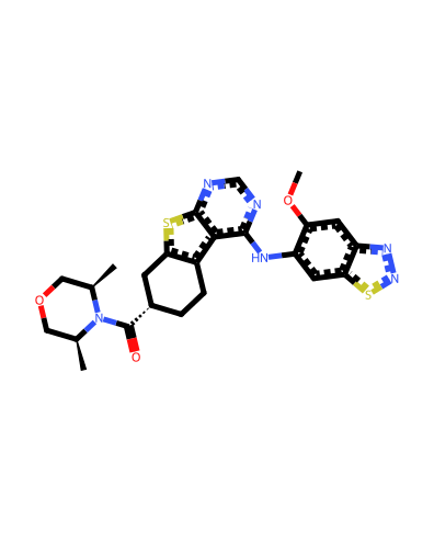 COc1cc2nnsc2cc1Nc1ncnc2sc3c(c12)CC[C@H](C(=O)N1[C@H](C)COC[C@@H]1C)C3